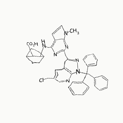 Cn1ccc2c(NC3C4CCC(CC4)C3C(=O)O)nc(-c3nn(C(c4ccccc4)(c4ccccc4)c4ccccc4)c4ncc(Cl)cc34)nc21